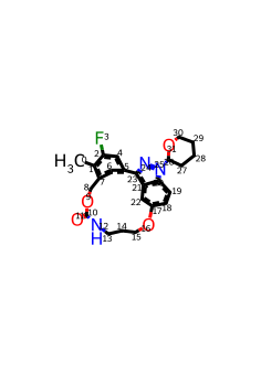 Cc1c(F)cc2cc1COC(=O)NCCCOc1ccc3c(c1)c-2nn3C1CCCCO1